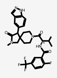 CC(C)[C@@H](NC(=O)c1cc(C(F)(F)F)ccc1F)C(=O)N1CCC2(CC1)CN(C)C(=O)C2c1ccc2[nH]ncc2c1